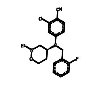 CCN1C[C@@H](N(Cc2ccccc2F)c2ccc(C#N)c(Cl)c2)CCO1